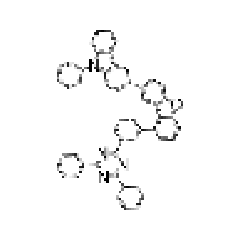 C1=CCC(c2nc(-c3ccccc3)nc(-c3cccc(-c4cccc5oc6ccc(-c7ccc8c(c7)c7ccccc7n8-c7ccccc7)cc6c45)c3)n2)C=C1